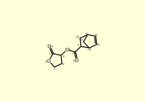 O=C1OCCC1OC(=O)C1CC2C=CC1C2